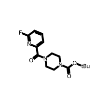 CC(C)(C)OC(=O)N1CCN(C(=O)c2cccc(F)n2)CC1